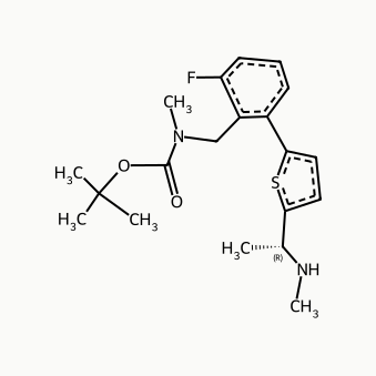 CN[C@H](C)c1ccc(-c2cccc(F)c2CN(C)C(=O)OC(C)(C)C)s1